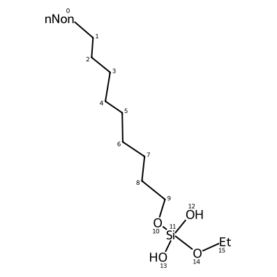 CCCCCCCCCCCCCCCCCCO[Si](O)(O)OCC